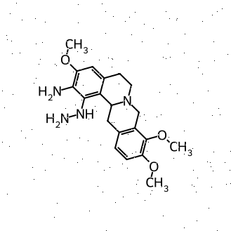 COc1cc2c(c(NN)c1N)C1Cc3ccc(OC)c(OC)c3CN1CC2